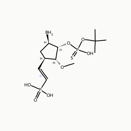 B[C@@H]1C[C@H](/C=C/P(=O)(O)O)[C@@H](OC)[C@H]1OP(O)(=S)OC(C)(C)C